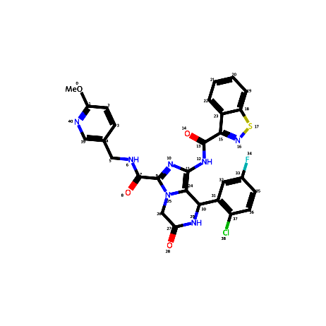 COc1ccc(CNC(=O)c2nc(NC(=O)c3nsc4ccccc34)c3n2CC(=O)NC3c2cc(F)ccc2Cl)cn1